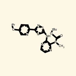 CC(C)Oc1ccc(-c2nsc(Nc3nccnc3N(C)C(=O)OC(C)(C)C)n2)nc1